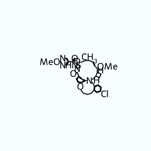 COc1ncc(C(=O)NS2(=O)=NC(=O)c3ccc4c(c3)N(Cc3ccc(Cl)cc3CCCCO4)C[C@@H]3CC[C@H]3[C@@H](OC)/C=C/C[C@H](C)C2)cn1